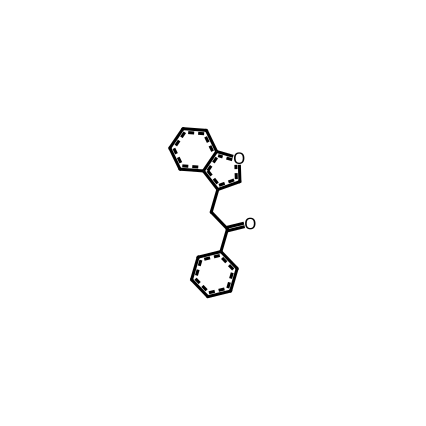 O=C(Cc1coc2ccccc12)c1ccccc1